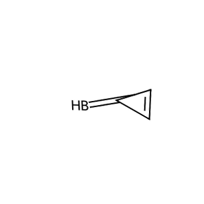 B=C1C=C1